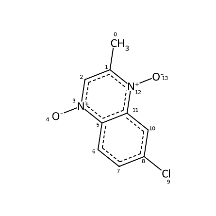 Cc1c[n+]([O-])c2ccc(Cl)cc2[n+]1[O-]